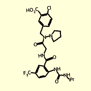 CC(C)NC(=O)Nc1ccc(C(F)(F)F)cc1C(=O)NCC(=O)N(Cc1ccc(Cl)c(C(=O)O)c1)N1CCCC1